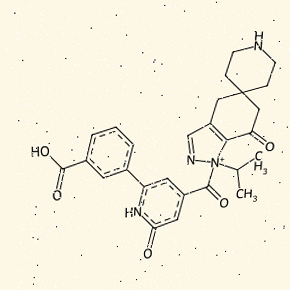 CC(C)[N+]1(C(=O)c2cc(-c3cccc(C(=O)O)c3)[nH]c(=O)c2)N=CC2=C1C(=O)CC1(CCNCC1)C2